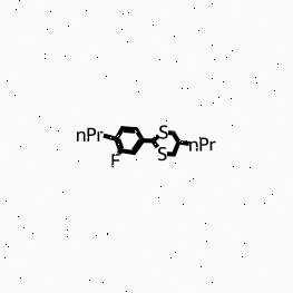 CCCc1ccc(C2SCC(CCC)CS2)cc1F